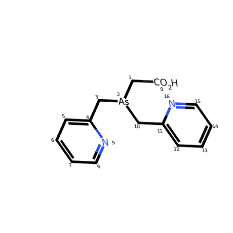 O=C(O)C[As](Cc1ccccn1)Cc1ccccn1